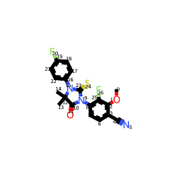 COc1c(C#N)ccc(N2C(=O)C(C)(C)N(c3ccc(F)cc3)C2=S)c1F